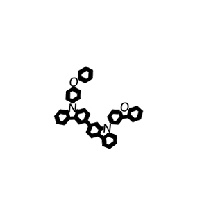 c1ccc(Oc2ccc(-n3c4ccccc4c4cc(-c5ccc6c7ccccc7n(-c7ccc8oc9ccccc9c8c7)c6c5)ccc43)cc2)cc1